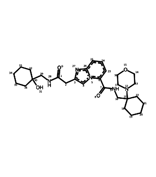 O=C(Cc1cn2c(C(=O)NCC3(N4CCOCC4)CCCCC3)cccc2n1)NCC1(O)CCCCC1